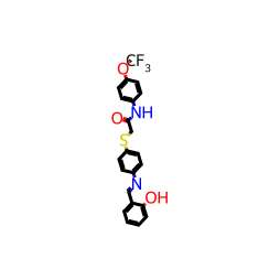 O=C(CSc1ccc(/N=C/c2ccccc2O)cc1)Nc1ccc(OC(F)(F)F)cc1